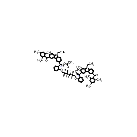 CCn1c2ccc(C(=O)c3c(C)cc(C)cc3C)cc2c2cc(/C(=N\OC(C)=O)c3ccccc3OCC(F)(F)C(F)(F)C(F)(F)C(F)(F)COc3ccccc3/C(=N/OC(C)=O)c3ccc4c(c3)c3cc(C(=O)c5c(C)cc(C)cc5C)ccc3n4CC)ccc21